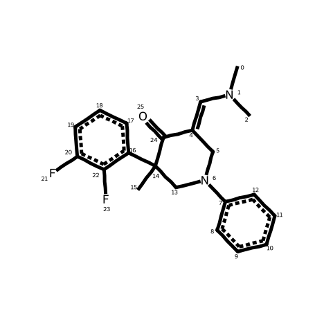 CN(C)C=C1CN(c2ccccc2)CC(C)(c2cccc(F)c2F)C1=O